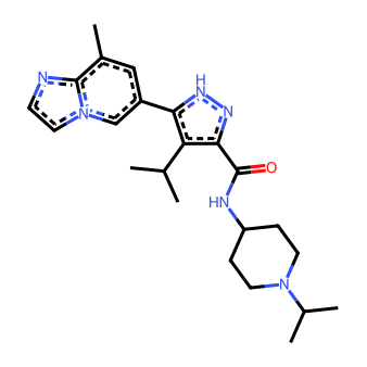 Cc1cc(-c2[nH]nc(C(=O)NC3CCN(C(C)C)CC3)c2C(C)C)cn2ccnc12